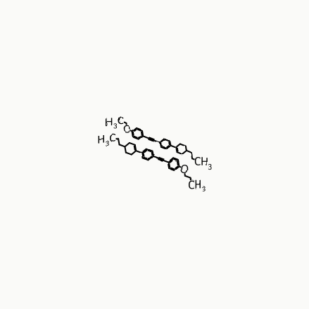 CCCC1CC=C(c2ccc(C#Cc3ccc(OCC)cc3)cc2)CC1.CCCOc1ccc(C#Cc2ccc(C3=CCC(CCC)CC3)cc2)cc1